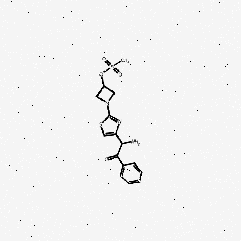 CS(=O)(=O)OC1CN(c2nc(C(N)C(=O)c3ccccc3)cs2)C1